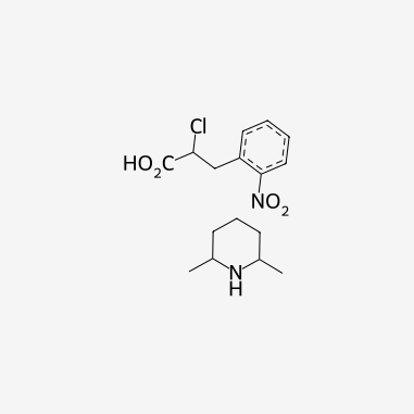 CC1CCCC(C)N1.O=C(O)C(Cl)Cc1ccccc1[N+](=O)[O-]